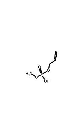 C=CCOP(=O)(O)ON